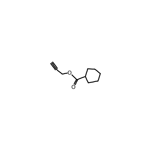 C#CCOC(=O)C1CCCCC1